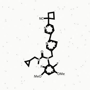 COc1cc(OC)c(F)c(N(Cc2ccc(-c3ccc(C4(C#N)CCC4)nc3)nc2)C(=O)N(C)CC2CC2)c1F